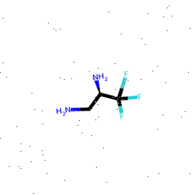 NC[C@@H](N)C(F)(F)F